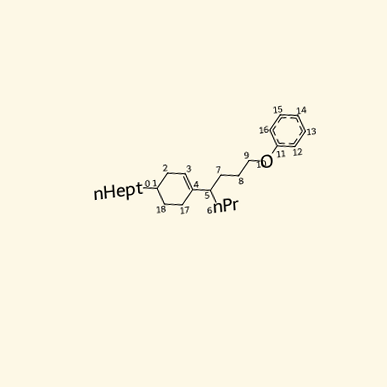 CCCCCCCC1CC=C(C(CCC)CCCOc2ccccc2)CC1